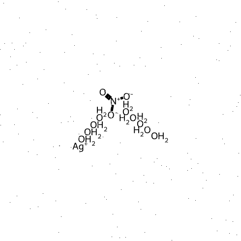 O.O.O.O.O.O.O.O.O.O=[N+]([O-])[O-].[Ag+]